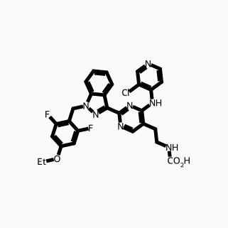 CCOc1cc(F)c(Cn2nc(-c3ncc(CCNC(=O)O)c(Nc4ccncc4Cl)n3)c3ccccc32)c(F)c1